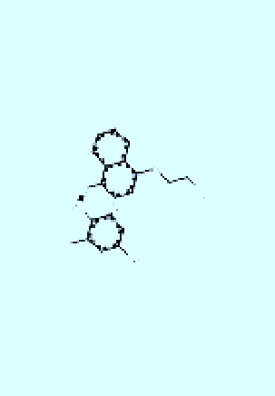 O=[N+]([O-])c1cc(Cl)c(/N=N\c2ccc(NCCO)c3ccccc23)c([N+](=O)[O-])c1